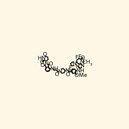 COc1cc(C(=O)NC2CCN(C(=O)CCNc3cccc4c3C(=O)N(C3CCC(=O)NC3=O)C4=O)CC2)c(F)cc1Nc1cnc2c(n1)C(N1CCCC1)CC(F)(F)C(=O)N2C